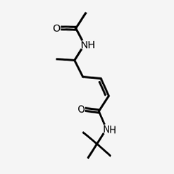 CC(=O)NC(C)C/C=C\C(=O)NC(C)(C)C